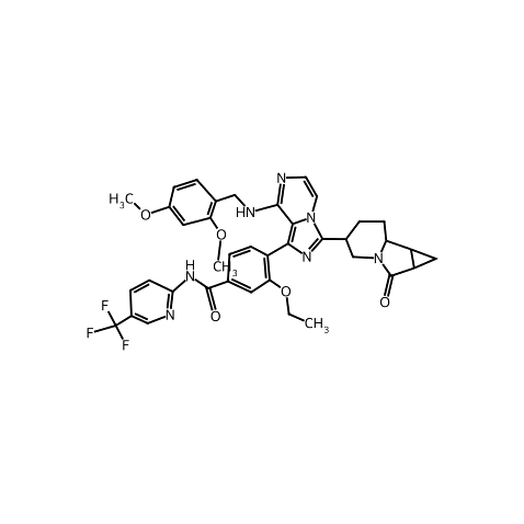 CCOc1cc(C(=O)Nc2ccc(C(F)(F)F)cn2)ccc1-c1nc(C2CCC3C4CC4C(=O)N3C2)n2ccnc(NCc3ccc(OC)cc3OC)c12